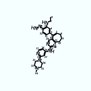 CCNc1cc(C2=CCCCc3nc(Nc4ccnc(N5CCN(C)CC5)c4)ncc32)ccc1N=N